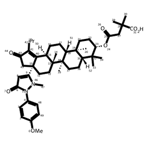 COc1ccc(-n2c(=O)cc([C@@]34CC[C@]5(C)[C@H](CC[C@@H]6[C@@]7(C)CC[C@H](OC(=O)CC(C)(C)C(=O)O)C(C)(C)[C@@H]7CC[C@]65C)C3=C(C(C)C)C(=O)C4)n2C)cc1